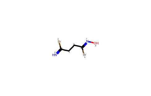 N=C(Br)CCC(Br)=NO